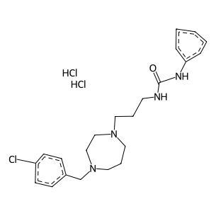 Cl.Cl.O=C(NCCCN1CCCN(Cc2ccc(Cl)cc2)CC1)Nc1ccccc1